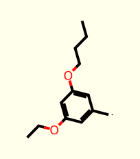 [CH2]c1cc(OCC)cc(OCCCC)c1